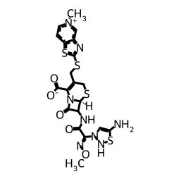 CO/N=C(/C(=O)NC1C(=O)N2C(C(=O)[O-])=C(CSc3nc4c[n+](C)ccc4s3)CS[C@@H]12)N1C=C(N)SN1